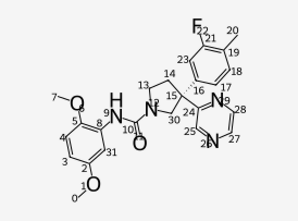 COc1ccc(OC)c(NC(=O)N2CC[C@@](c3ccc(C)c(F)c3)(c3cnccn3)C2)c1